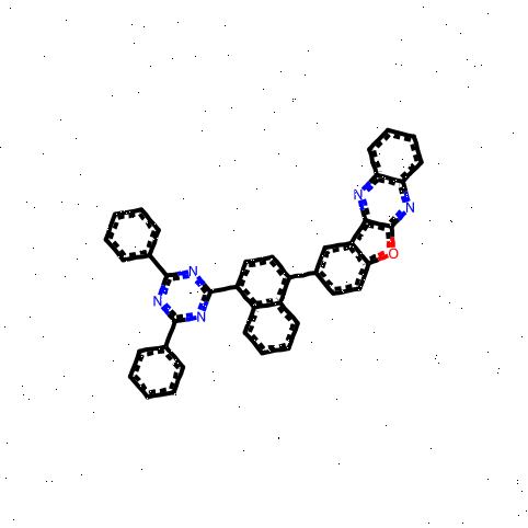 c1ccc(-c2nc(-c3ccccc3)nc(-c3ccc(-c4ccc5oc6nc7ccccc7nc6c5c4)c4ccccc34)n2)cc1